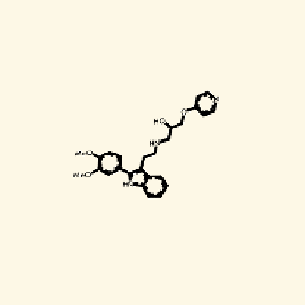 COc1ccc(-c2[nH]c3ccccc3c2CCNCC(O)COc2ccncc2)cc1OC